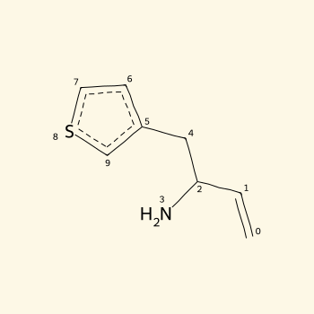 C=CC(N)Cc1ccsc1